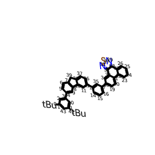 CC(C)(C)c1cc(-c2ccc3c(c2)-c2cc(-c4cccc(-c5ccc6c7ccccc7c7nsnc7c6c5)c4)ccc2C3)cc(C(C)(C)C)c1